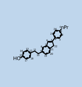 CCCc1ccc(C2=Cc3cc(CCc4ccc(O)cc4)ccc3C2)cc1